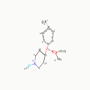 CC(C)(C)OC=O.O=[N+]([O-])c1ccc(OC2CCN(F)CC2)cc1